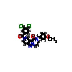 COc1ccc(CN2CCCn3nc4c(c3C2=O)CN(C(=O)c2ccc(Cl)c(Cl)c2)CC4)cc1